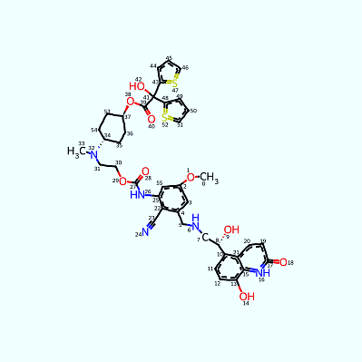 COc1cc(CNC[C@H](O)c2ccc(O)c3[nH]c(=O)ccc23)c(C#N)c(NC(=O)OCCN(C)[C@H]2CC[C@H](OC(=O)C(O)(c3cccs3)c3cccs3)CC2)c1